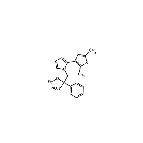 CCOC(Cn1cccc1-c1cc(C)sc1C)(C(=O)O)c1ccccc1